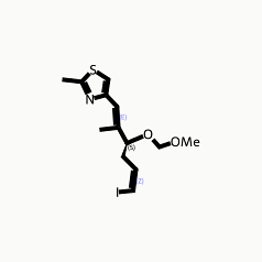 COCO[C@@H](C/C=C\I)/C(C)=C/c1csc(C)n1